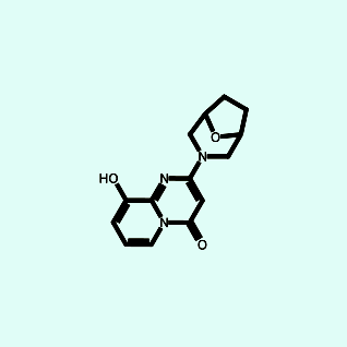 O=c1cc(N2CC3CCC(C2)O3)nc2c(O)cccn12